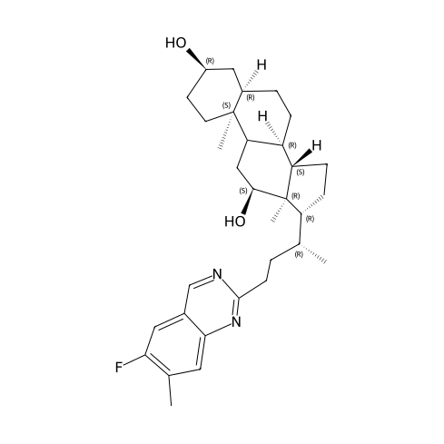 Cc1cc2nc(CC[C@@H](C)[C@H]3CC[C@H]4[C@@H]5CC[C@@H]6C[C@H](O)CC[C@]6(C)C5C[C@H](O)[C@]34C)ncc2cc1F